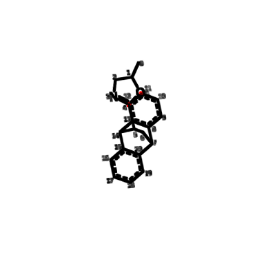 CC1CN=C(C2CC3c4ccccc4C2c2ccccc23)O1